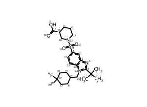 CC(C)(C)c1nc2cc(S(=O)(=O)N3CCC[C@H](C(=O)O)C3)ccc2n1CC1CCC(F)(F)CC1